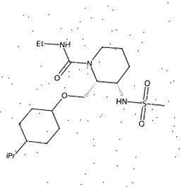 CCNC(=O)N1CCC[C@H](NS(C)(=O)=O)[C@@H]1COC1CCC(C(C)C)CC1